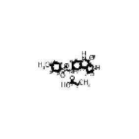 CCC(=O)O.Cc1ccc(S(=O)(=O)Nc2ccc3[nH]c(=O)c4[nH]ccc4c3c2)cc1